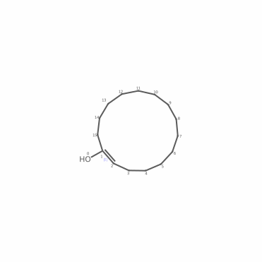 O/C1=C/CCCCCCCCCCCCC1